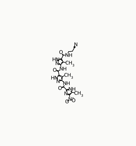 Cc1[nH]c(C(=O)Nc2n[nH]c(C(=O)Nc3n[nH]c(C(=O)NCCC#N)c3C)c2C)nc1[N+](=O)[O-]